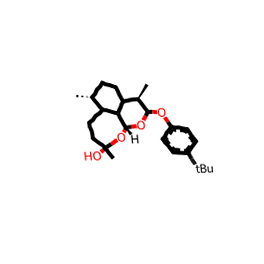 C[C@H]1C(Oc2ccc(C(C)(C)C)cc2)O[C@@H]2OC(C)(O)CCC3C2C1CC[C@H]3C